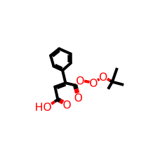 CC(C)(C)OOOC(=O)C(=CC(=O)O)c1ccccc1